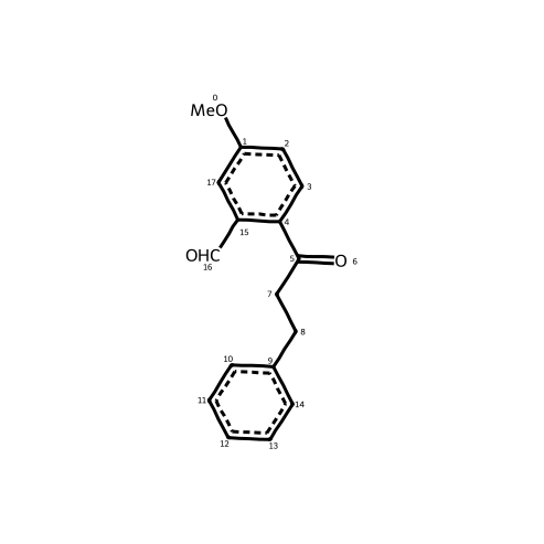 COc1ccc(C(=O)CCc2ccccc2)c(C=O)c1